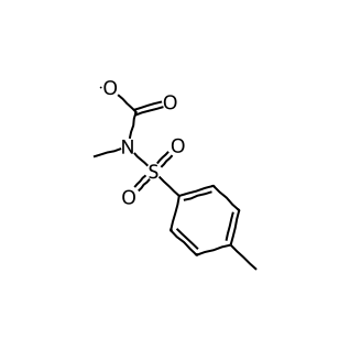 Cc1ccc(S(=O)(=O)N(C)C([O])=O)cc1